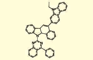 CCn1c2ccccc2c2ccc(C3=CC4c5ccccc5N(c5nc(-c6ccccc6)c6ccccc6n5)C4c4ccccc43)cc21